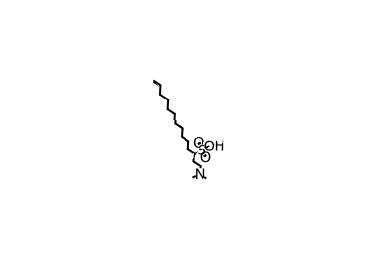 CCCCCCCCCCCC(CCN(C)C)S(=O)(=O)O